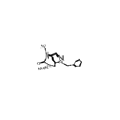 CN[C@H]1Cc2c(cnn2Cc2ccccc2)N(O)C1=O